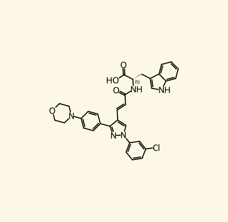 O=C(C=Cc1cn(-c2cccc(Cl)c2)nc1-c1ccc(N2CCOCC2)cc1)N[C@@H](Cc1c[nH]c2ccccc12)C(=O)O